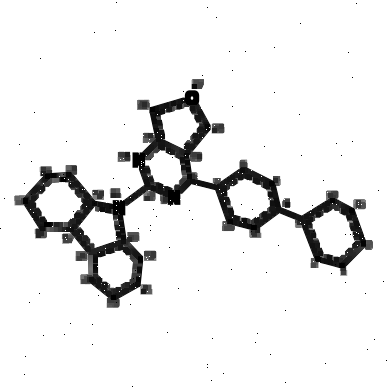 c1ccc(-c2ccc(-c3nc(-n4c5ccccc5c5ccccc54)nc4cocc34)cc2)cc1